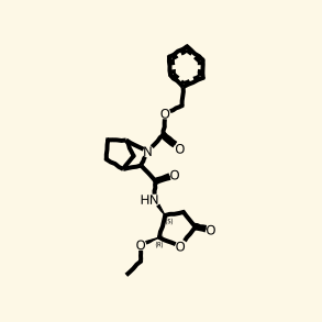 CCO[C@@H]1OC(=O)C[C@@H]1NC(=O)C1C2CCC(C2)N1C(=O)OCc1ccccc1